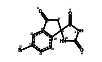 O=C1NC(=O)C2(CC(=O)c3cc(Br)ccc32)N1